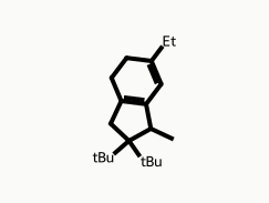 CCC1=CC2=C(CC1)CC(C(C)(C)C)(C(C)(C)C)C2C